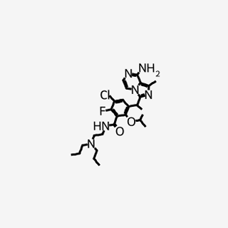 CCCN(CCC)CCNC(=O)c1c(F)c(Cl)cc(C(C)c2nc(C)c3c(N)nccn23)c1OC(C)C